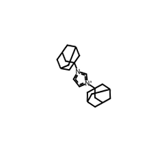 c1c[n+](C23CC4CC(CC(C4)C2)C3)cn1C12CC3CC(CC(C3)C1)C2